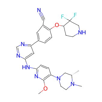 COc1nc(Nc2cc(-c3ccc(OC4CCNCC4(F)F)c(C#N)c3)ncn2)ccc1N1CCN(C)[C@@H](C)C1